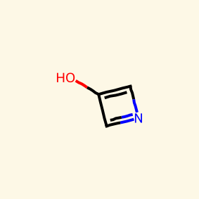 OC1=CN=C1